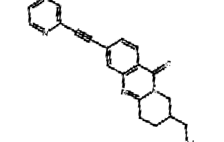 O=c1c2ccc(C#Cc3ccccn3)cc2nc2n1CC(CO)CC2